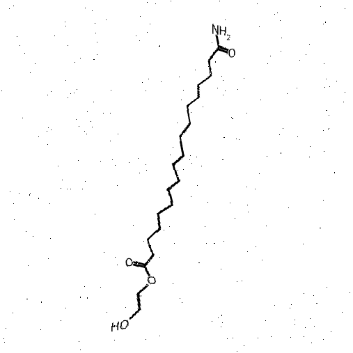 NC(=O)CCCCCCCCCCCCCCCCC(=O)OCCO